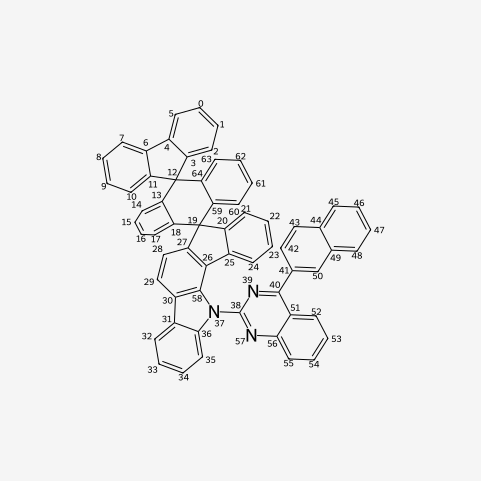 c1ccc2c(c1)-c1ccccc1C21c2ccccc2C2(c3ccccc3-c3c2ccc2c4ccccc4n(-c4nc(-c5ccc6ccccc6c5)c5ccccc5n4)c32)c2ccccc21